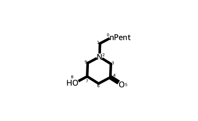 CCCCCCN1CC(=O)CC(O)C1